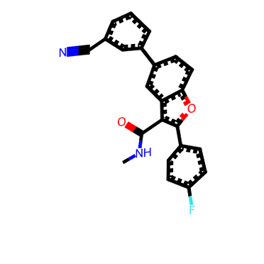 CNC(=O)c1c(-c2ccc(F)cc2)oc2ccc(-c3cccc(C#N)c3)cc12